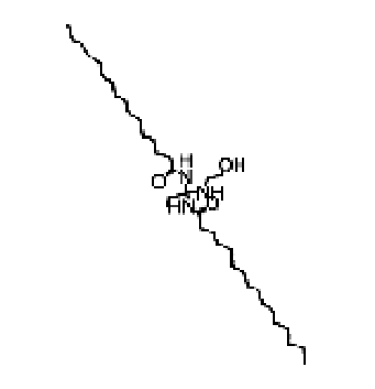 CCCCCCCCCCCCCCCC(=O)NC(CC)(NCCO)NC(=O)CCCCCCCCCCCCCCC